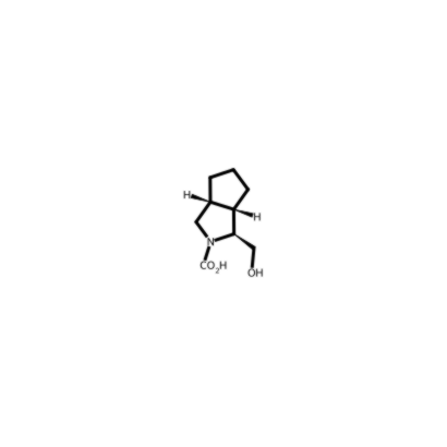 O=C(O)N1C[C@@H]2CCC[C@@H]2[C@H]1CO